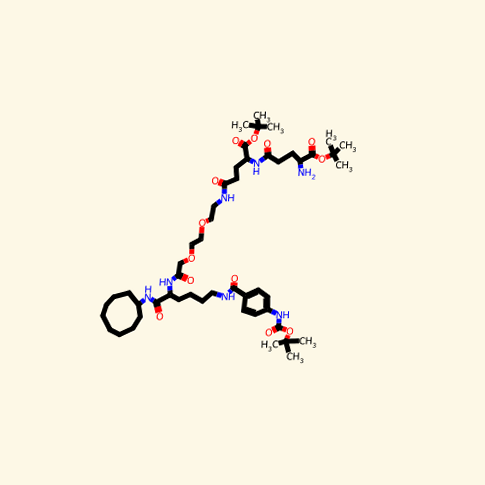 CC(C)(C)OC(=O)Nc1ccc(C(=O)NCCCCC(NC(=O)COCCOCCNC(=O)CCC(NC(=O)CCC(N)C(=O)OC(C)(C)C)C(=O)OC(C)(C)C)C(=O)NC2CCCCCCCC2)cc1